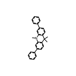 CN1c2cc(-c3ccccc3)ccc2C(C)(C)c2ccc(-c3ccccc3)cc21